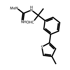 CNC(=N)NC(C)(C=O)c1cccc(-c2cc(C)cs2)c1